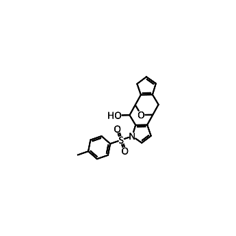 Cc1ccc(S(=O)(=O)n2ccc3c2C(O)C2OC3CC3=C2CC=C3)cc1